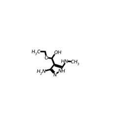 CCOC(O)c1c(N)n[nH]c1NC